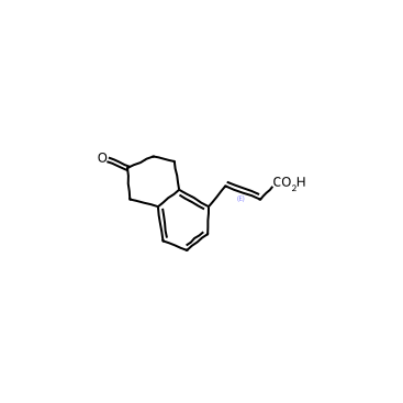 O=C(O)/C=C/c1cccc2c1CCC(=O)C2